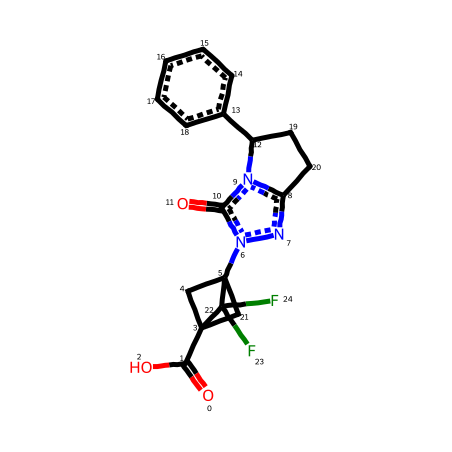 O=C(O)C12CC(n3nc4n(c3=O)C(c3ccccc3)CC4)(C1)C2(F)F